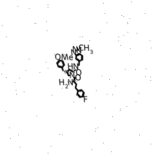 COc1ccc(C[C@@H]2C[C@@H](C(=O)NCc3ccc4c(c3)nnn4C)N(C(=O)[C@H](N)CCc3ccc(F)cc3)C2)cc1